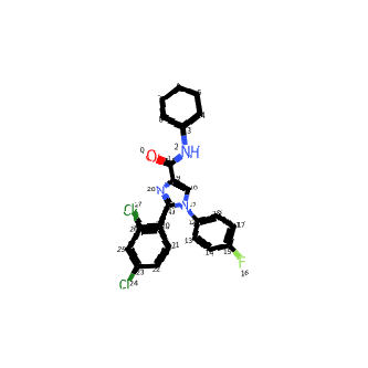 O=C(NC1CCCCC1)c1cn(-c2ccc(F)cc2)c(-c2ccc(Cl)cc2Cl)n1